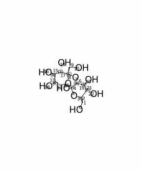 OC[C@H]1O[C@H](O)[C@H](O[C@]2(CO)OC[C@@H](O)[C@@H](O)[C@@H]2O)[C@@H](O)[C@@H]1O